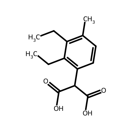 CCc1c(C)ccc(C(C(=O)O)C(=O)O)c1CC